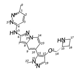 Cc1ccc(Nc2cc3cc(-c4c(OC[C@H]5CCN5)cnn4C)ccn3n2)nn1